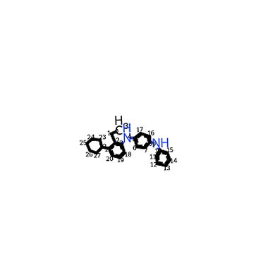 CCc1c(Nc2ccc(Nc3ccccc3)cc2)cccc1C1CCCCC1